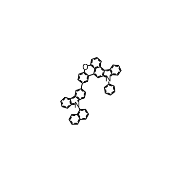 c1ccc(-n2c3ccccc3c3c4cccc5c4c(cc32)-c2cc(-c3ccc4c(c3)c3ccccc3n4-c3cccc4ccccc34)ccc2O5)cc1